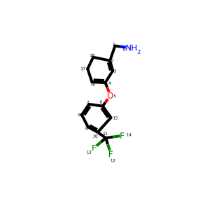 NCC1=CC(Oc2cccc(C(F)(F)F)c2)=CCC1